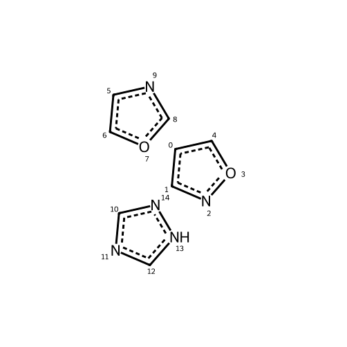 c1cnoc1.c1cocn1.c1nc[nH]n1